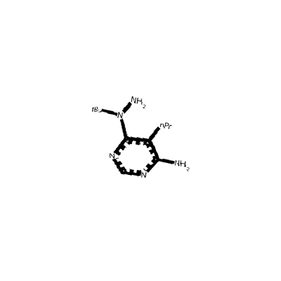 CCCc1c(N)ncnc1N(N)C(C)(C)C